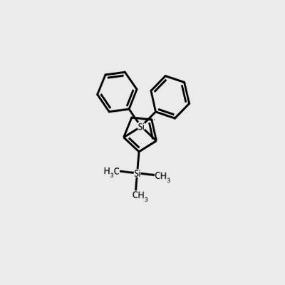 C[Si](C)(C)C1=C2C[C]=C1[Si]2(c1ccccc1)c1ccccc1